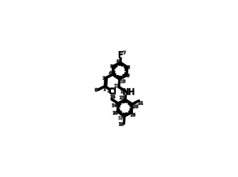 C/C(Cl)=C/c1cc(F)ccc1CNc1c(C)cc(C)cc1C